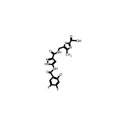 Cc1nc(C(=O)O)sc1CNC(=O)c1cc(NC(=O)c2cc(F)c(F)cc2Cl)[nH]n1